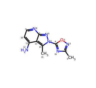 Cc1noc(-n2nc3nccc(N)c3c2C)n1